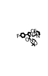 CC1(C)CN(C(=O)c2c(-c3ccc(F)cc3)cc(C(F)(F)F)n2Cc2ncccn2)CCO1